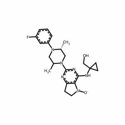 CC1CN(c2cccc(F)c2)[C@H](C)CN1c1nc2c(c(NC3(CO)CC3)n1)[S+]([O-])CC2